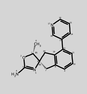 C[C@H]1OC(N)=N[C@@]12Cc1cccc(-c3cccnc3)c1C2